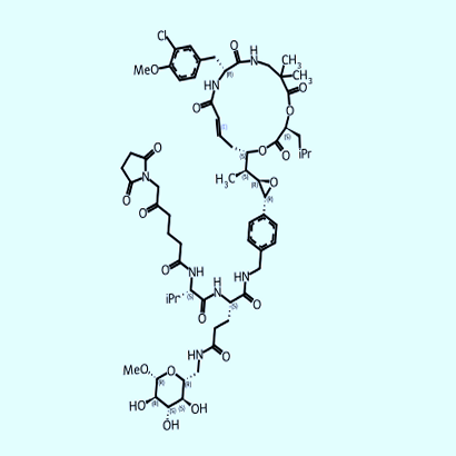 COc1ccc(C[C@H]2NC(=O)/C=C/C[C@@H]([C@H](C)[C@H]3O[C@@H]3c3ccc(CNC(=O)[C@H](CCC(=O)NC[C@H]4O[C@@H](OC)[C@H](O)[C@@H](O)[C@@H]4O)NC(=O)[C@@H](NC(=O)CCCC(=O)CN4C(=O)CCC4=O)C(C)C)cc3)OC(=O)[C@H](CC(C)C)OC(=O)C(C)(C)CNC2=O)cc1Cl